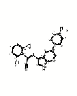 N#C/C(=C\c1c[nH]c2ncc(-c3ccc(N)nc3)cc12)c1c(Cl)cccc1Cl